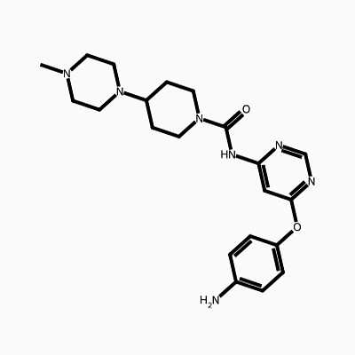 CN1CCN(C2CCN(C(=O)Nc3cc(Oc4ccc(N)cc4)ncn3)CC2)CC1